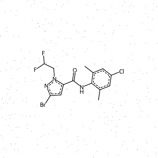 Cc1cc(Cl)cc(C)c1NC(=O)c1cc(Br)nn1CC(F)F